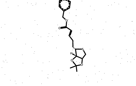 CC1(C)OC2CS[C@@H](CC/C=C/C(=O)OCc3ccccc3)[C@H]2O1